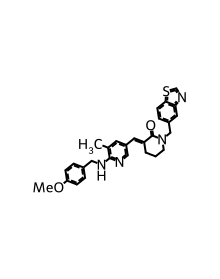 COc1ccc(CNc2ncc(/C=C3\CCCN(Cc4ccc5scnc5c4)C3=O)cc2C)cc1